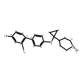 CC(=O)N1CCC(C2(Sc3ccc(-c4ccc(F)cc4F)cc3)CC2)CC1